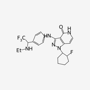 CCNC(c1ccc(Nc2nn(C3CCCCC3F)c3cc[nH]c(=O)c23)cc1)C(F)(F)F